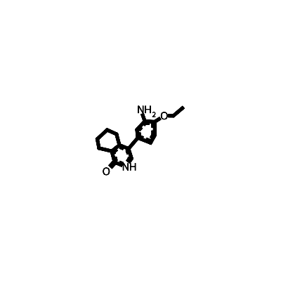 CCOc1ccc(-c2c[nH]c(=O)c3c2CCCC3)cc1N